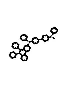 CN(c1ccccc1)c1ccc(-c2ccc(N(c3ccccc3)c3ccc4c(c3)c(-c3ccccc3)c(-c3ccccc3)c3ccccc34)cc2)cc1